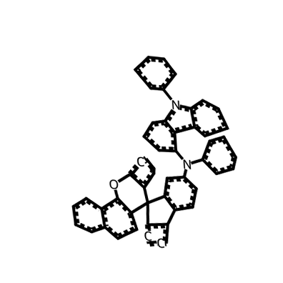 c1ccc(N(c2ccc3c(c2)C2(c4ccccc4Oc4c2ccc2ccccc42)c2ccccc2-3)c2cccc3c2c2ccccc2n3-c2ccccc2)cc1